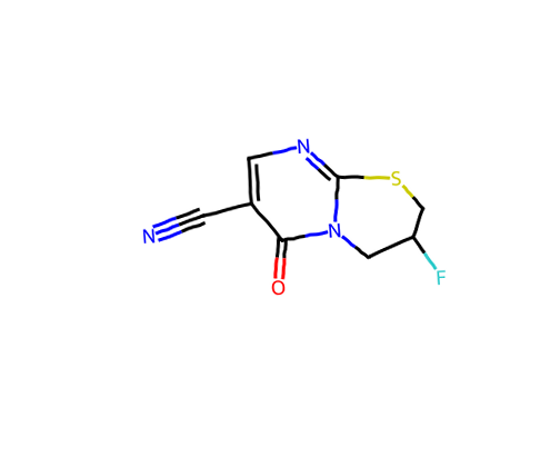 N#Cc1cnc2n(c1=O)CC(F)CS2